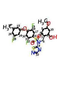 COc1ccc(CN(c2ncns2)S(=O)(=O)c2cc(F)c(Oc3cc(C)cc(F)c3)cc2F)c(O)c1